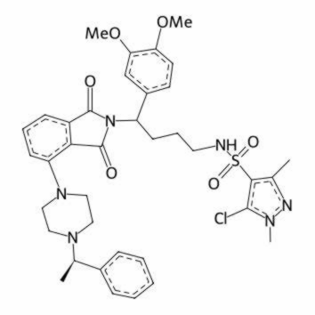 COc1ccc(C(CCCNS(=O)(=O)c2c(C)nn(C)c2Cl)N2C(=O)c3cccc(N4CCN([C@H](C)c5ccccc5)CC4)c3C2=O)cc1OC